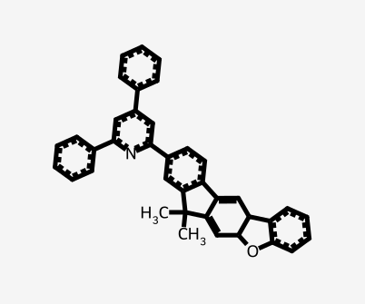 CC1(C)C2=CC3Oc4ccccc4C3C=C2c2ccc(-c3cc(-c4ccccc4)cc(-c4ccccc4)n3)cc21